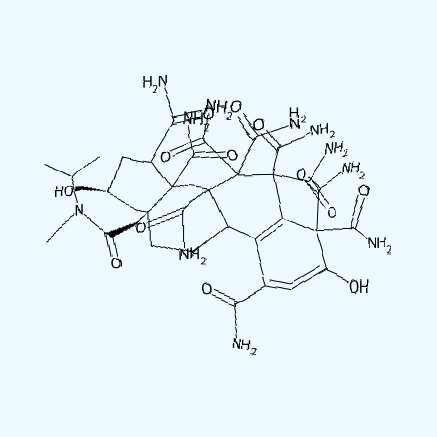 CC(C)N(C)C(=O)[C@]12C[CH]C3C4=C(C(C(N)=O)(C(N)=O)C(O)=C=C4C(N)=O)C(C(N)=O)(C(N)=O)C(C(N)=O)(C(N)=O)C3(C(N)=O)C1(C(N)=O)C(C(N)=O)C[C@@H]2O